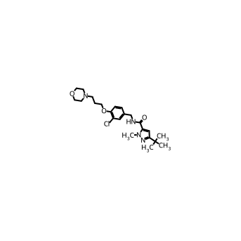 Cn1nc(C(C)(C)C)cc1C(=O)NCc1ccc(OCCCN2CCOCC2)c(Cl)c1